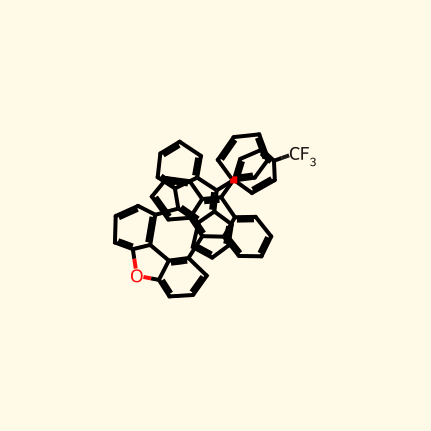 FC(F)(F)c1ccc(-c2c3ccccc3c(-c3cccc4oc5cccc(-c6c7ccccc7c(-c7ccccc7)c7ccccc67)c5c34)c3ccccc23)cc1